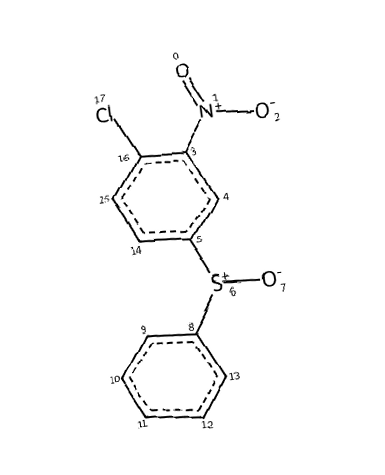 O=[N+]([O-])c1cc([S+]([O-])c2ccccc2)ccc1Cl